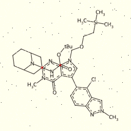 Cn1cc2c(Cl)c(-c3cn(COCC[Si](C)(C)C)c4nc(N5C6CCCC5CC(NC(=O)OC(C)(C)C)C6)n(C)c(=O)c34)ccc2n1